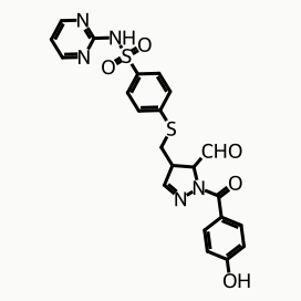 O=CC1C(CSc2ccc(S(=O)(=O)Nc3ncccn3)cc2)C=NN1C(=O)c1ccc(O)cc1